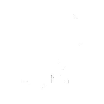 CC(C)CC(COc1ccc2c(c1)OCc1cnccc1-2)NC(=O)O